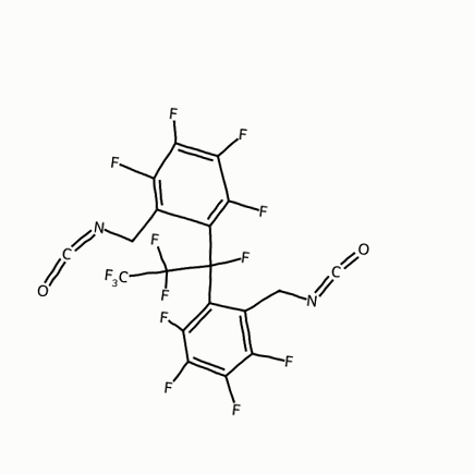 O=C=NCc1c(F)c(F)c(F)c(F)c1C(F)(c1c(F)c(F)c(F)c(F)c1CN=C=O)C(F)(F)C(F)(F)F